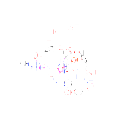 CN[C@H](CC(C)C)C(=O)NC1C(=O)N[C@@H](CC(N)=O)C(=O)N[C@H]2C(=O)N[C@H]3C(=O)N[C@H](C(=O)N[C@@H](C(=O)O)c4cc(O)cc(O)c4-c4cc3ccc4O)[C@H](O)c3ccc(c(Cl)c3)Oc3cc2cc(c3O[C@@H]2O[C@H](COC)[C@@H](O)[C@H](O)[C@H]2O[C@H]2C[C@](C)(N)[C@H](O)[C@H](C)O2)Oc2ccc(cc2Cl)[C@H]1O